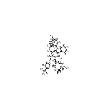 CCC1(F)COB(n2c(-c3ccc(C(C)(C)C)cc3)cc(-c3ccc(C(C)(C)C)cc3)c2/C(C)=C2\N=C(c3ccc(C)cc3)c3ccccc32)OCC1(F)F